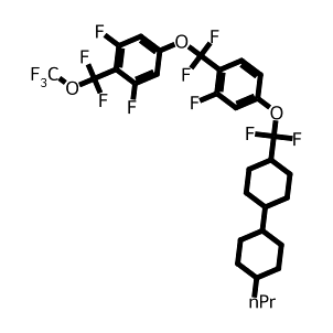 CCCC1CCC(C2CCC(C(F)(F)Oc3ccc(C(F)(F)Oc4cc(F)c(C(F)(F)OC(F)(F)F)c(F)c4)c(F)c3)CC2)CC1